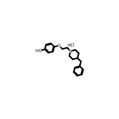 Cl.Oc1ccc(OCCN2CCC(Cc3ccccc3)CC2)cc1